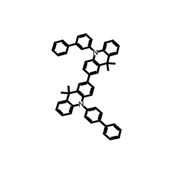 CC1(C)c2ccccc2N(c2ccc(-c3ccccc3)cc2)c2ccc(-c3ccc4c(c3)C(C)(C)c3ccccc3N4c3cccc(-c4ccccc4)c3)cc21